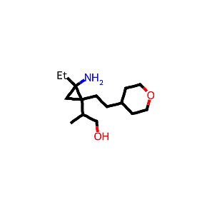 CCC1(N)CC1(CCC1CCOCC1)C(C)CO